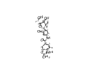 C=C1Nc2ccc(C(=O)Nc3ccn(C4O[C@H](CO)[C@@H](O)C4(F)F)c(=O)n3)cc2O1